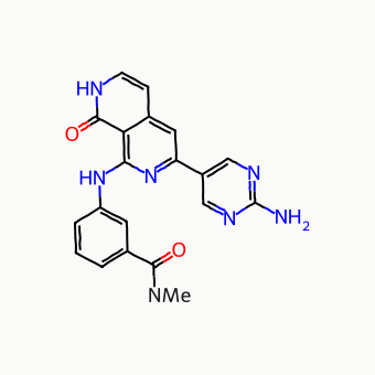 CNC(=O)c1cccc(Nc2nc(-c3cnc(N)nc3)cc3cc[nH]c(=O)c23)c1